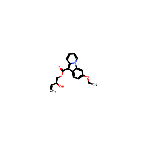 C=CC(O)COC(=O)c1c2ccc(OCC#N)cc2n2ccccc12